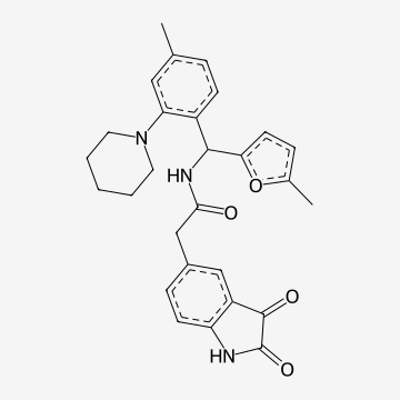 Cc1ccc(C(NC(=O)Cc2ccc3c(c2)C(=O)C(=O)N3)c2ccc(C)o2)c(N2CCCCC2)c1